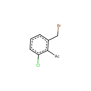 CC(=O)c1c(Cl)cccc1CBr